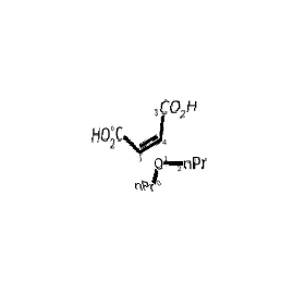 CCCOCCC.O=C(O)/C=C\C(=O)O